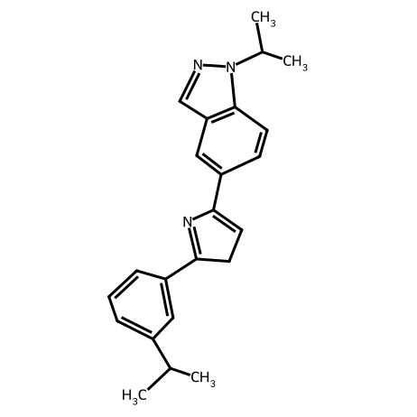 CC(C)c1cccc(C2=NC(c3ccc4c(cnn4C(C)C)c3)=CC2)c1